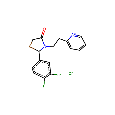 O=C1CSC(c2ccc(F)c(Br)c2)N1CCC1=CC=CC=[N+]1.[Cl-]